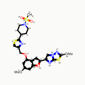 COc1cc(OCc2csc(C3CCN(S(C)(=O)=O)CC3)n2)c2cc(-c3cn4nc(OC)sc4n3)oc2c1